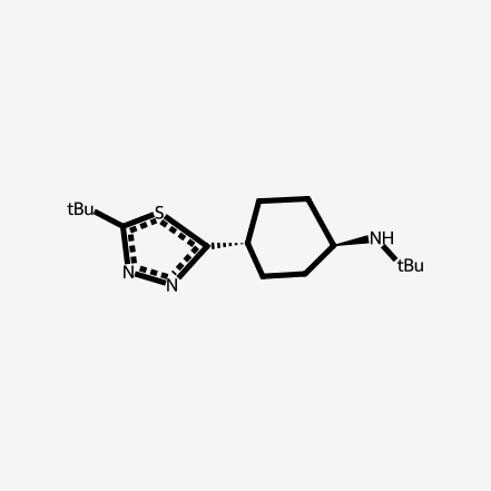 CC(C)(C)N[C@H]1CC[C@H](c2nnc(C(C)(C)C)s2)CC1